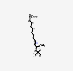 C=C=C(/C=C/CCCCCCCCCCCCCCCCC)CC(C)(C)CC